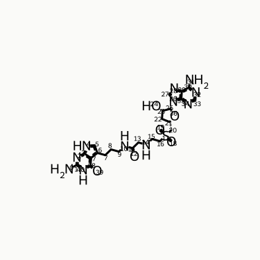 Nc1nc2[nH]cc(CCCNC(=O)CNCCS(=O)(=O)C[C@@H]3C[C@H](O)[C@H](n4cnc5c(N)ncnc54)O3)c2c(=O)[nH]1